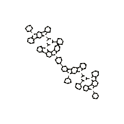 c1ccc(-c2nc(-n3c4ccccc4c4cc5c(cc43)c3ccccc3n5-c3ccccc3)nc(-n3c4ccccc4c4ccc5c(c6ccccc6n5-c5ccc(-c6ccc7c(c6)c6cc8c9ccccc9n(-c9nc(-c%10ccccc%10)nc(-n%10c%11ccccc%11c%11ccc%12c(c%13ccccc%13n%12-c%12ccccc%12)c%11%10)n9)c8cc6n7-c6ccccc6)cc5)c43)n2)cc1